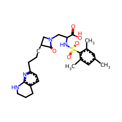 Cc1cc(C)c(S(=O)(=O)NC(CN2C[C@H](CCCc3ccc4c(n3)NCCC4)C2=O)C(=O)O)c(C)c1